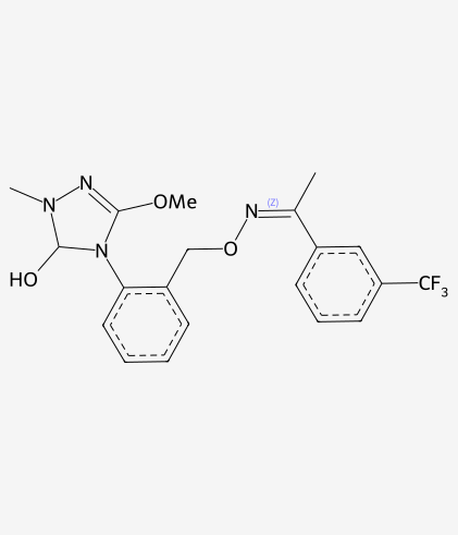 COC1=NN(C)C(O)N1c1ccccc1CO/N=C(/C)c1cccc(C(F)(F)F)c1